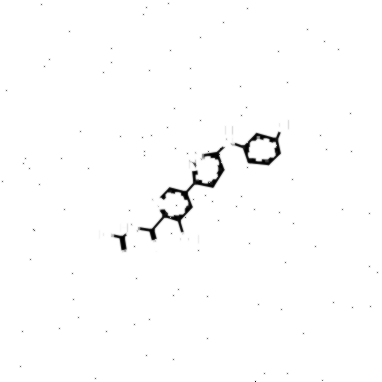 O=C(O)NC(=O)c1ncc(-c2ccc(Nc3cccc(Cl)c3)nn2)cc1O